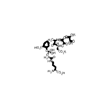 CC(N)C(=O)NCC(=O)O.NC(=O)NCCC[C@H](N)C(=O)O.O=C(O)C(=O)O.O=C(O)C(=O)O.O=C(O)c1ccccc1OP(=O)(O)O